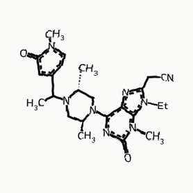 CCn1c(CC#N)nc2c(N3C[C@@H](C)N(C(C)c4ccn(C)c(=O)c4)C[C@@H]3C)nc(=O)n(C)c21